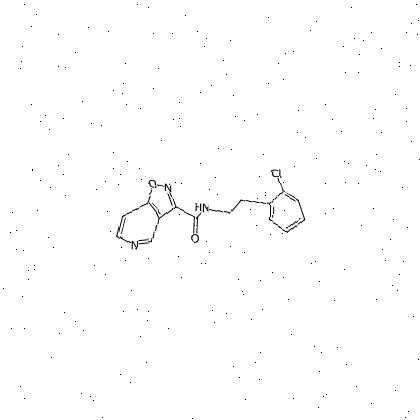 O=C(NCCc1ccccc1Cl)c1noc2ccncc12